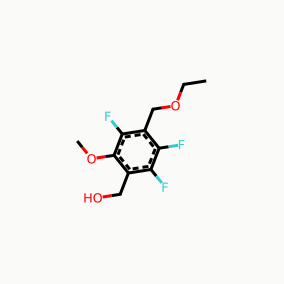 CCOCc1c(F)c(F)c(CO)c(OC)c1F